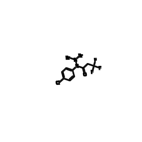 O=C(CC(F)(F)F)N(c1ccc(Cl)cc1)N(Br)Br